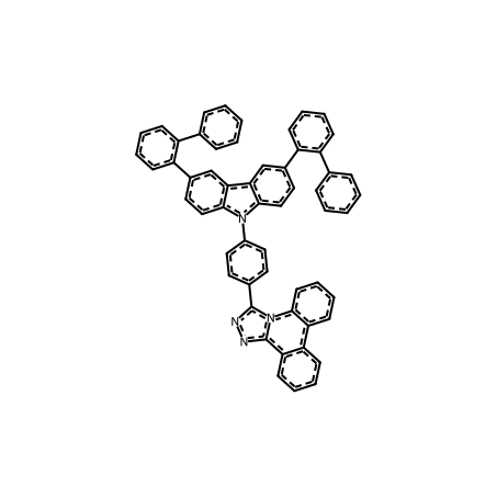 c1ccc(-c2ccccc2-c2ccc3c(c2)c2cc(-c4ccccc4-c4ccccc4)ccc2n3-c2ccc(-c3nnc4c5ccccc5c5ccccc5n34)cc2)cc1